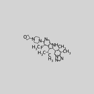 Cc1c(-c2[nH]c3cnc(N4CCN(C5COC5)C[C@H]4C)c(F)c3c2C(C)C)cn2ncnc2c1C